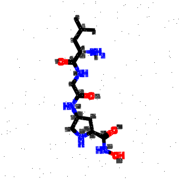 CC(C)C[C@H](N)C(=O)NCC(=O)N[C@@H]1CN[C@H](C(=O)NO)C1